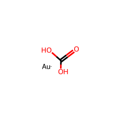 O=C(O)O.[Au]